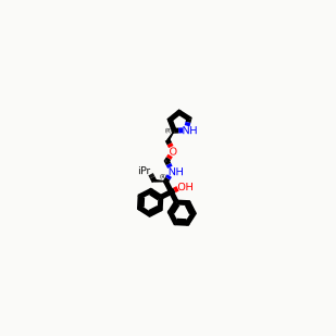 CC(C)C[C@@H](NCOC[C@H]1CCCN1)C(O)(c1ccccc1)c1ccccc1